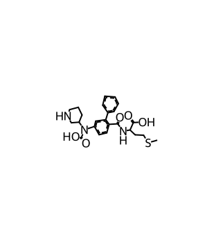 CSCCC(NC(=O)c1ccc(N(C(=O)O)C2CCCNC2)cc1-c1ccccc1)C(=O)O